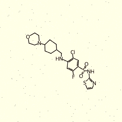 O=S(=O)(Nc1nccs1)c1cc(Cl)c(NCC2CCC(N3CCOCC3)CC2)cc1F